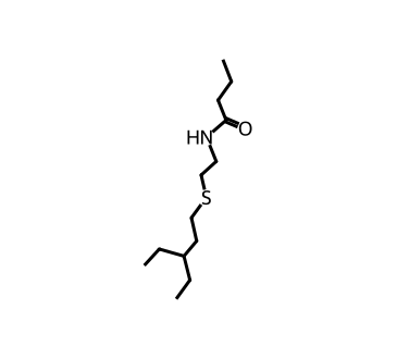 CCCC(=O)NCCSCCC(CC)CC